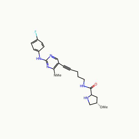 CNc1nc(Nc2ccc(F)cc2)ncc1C#CCCCNC(=O)C1C[C@H](OC)CN1